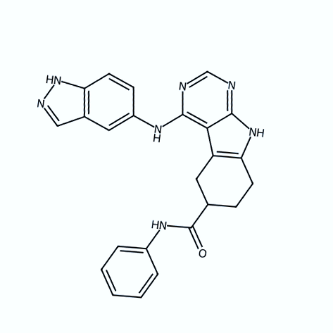 O=C(Nc1ccccc1)C1CCc2[nH]c3ncnc(Nc4ccc5[nH]ncc5c4)c3c2C1